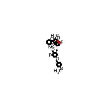 COc1ccc(COc2cc(F)c(CSc3nc4c(n3-c3ccc(F)cc3)C(C)(c3ccc(Cl)c(OC)c3)CCC4)c(F)c2)cc1